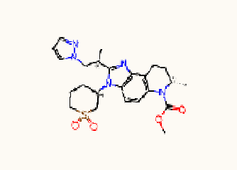 COC(=O)N1c2ccc3c(nc([C@H](C)Cn4cccn4)n3[C@@H]3CCCS(=O)(=O)C3)c2CC[C@@H]1C